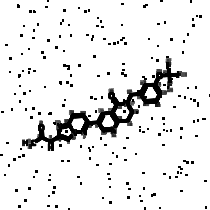 CC(=O)Nc1cn2nc(-c3cnc4c(c3)C(=O)N(Cc3cccc(OC(F)(F)F)c3)CC4)ccc2n1